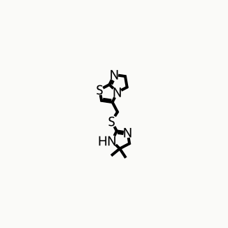 CC1(C)CN=C(SCC2=CSC3=NCCN23)N1